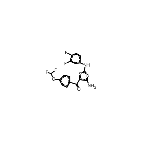 Nc1nc(Nc2ccc(F)c(F)c2)sc1C(=O)c1ccc(OC(F)F)cc1